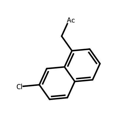 CC(=O)Cc1cccc2ccc(Cl)cc12